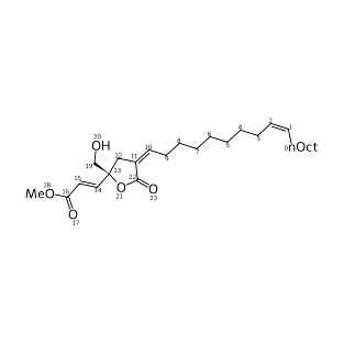 CCCCCCCC/C=C\CCCCCCC/C=C1/C[C@](C=CC(=O)OC)(CO)OC1=O